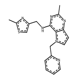 Cc1nc(NCc2csc(C)n2)c2c(ccn2Cc2ccccn2)n1